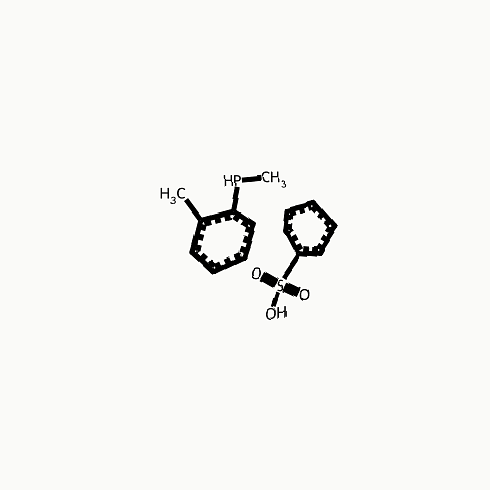 CPc1ccccc1C.O=S(=O)(O)c1ccccc1